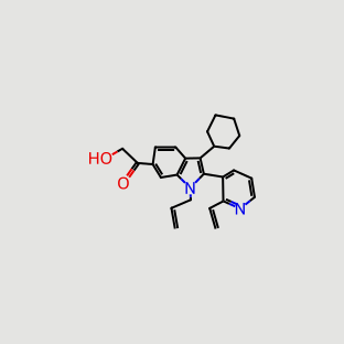 C=CCn1c(-c2cccnc2C=C)c(C2CCCCC2)c2ccc(C(=O)CO)cc21